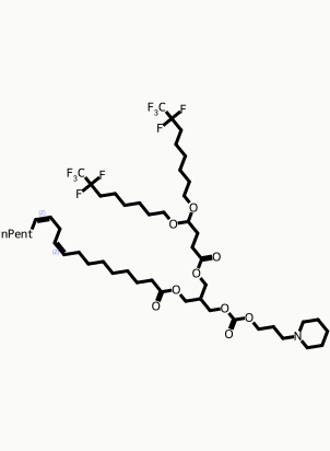 CCCCC/C=C\C/C=C\CCCCCCCC(=O)OCC(COC(=O)CCC(OCCCCCCC(F)(F)C(F)(F)F)OCCCCCCC(F)(F)C(F)(F)F)COC(=O)OCCCN1CCCCC1